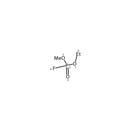 CCOP(=O)(F)OC